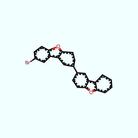 Brc1ccc2oc3ccc(-c4ccc5oc6ccccc6c5c4)cc3c2c1